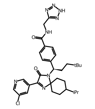 CC(C)C1CCC2(CC1)N=C(c1cncc(Cl)c1)C(=O)N2[C@H](CCC(C)(C)C)c1ccc(C(=O)NCc2nn[nH]n2)cc1